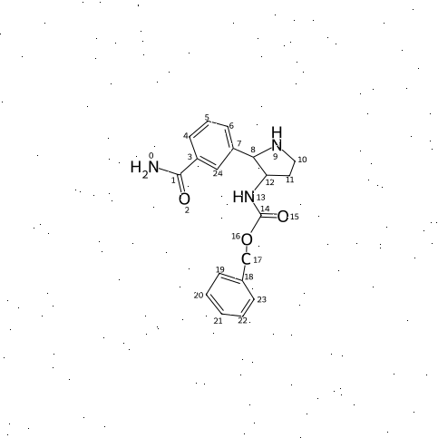 NC(=O)c1cccc(C2NCCC2NC(=O)OCc2ccccc2)c1